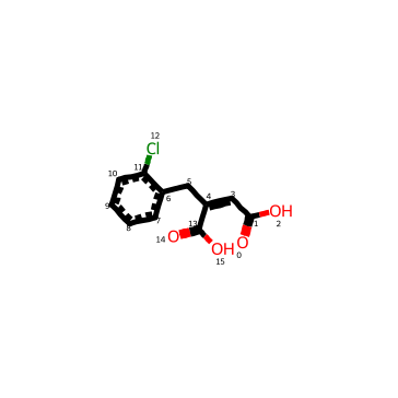 O=C(O)C=C(Cc1ccccc1Cl)C(=O)O